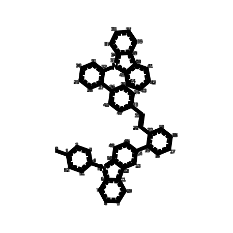 Cc1ccc(-n2c3ccccc3c3cc(-c4ccccc4/C=C/c4ccc(-c5ccccc5-n5c6ccccc6c6ccccc65)cc4)ccc32)cc1